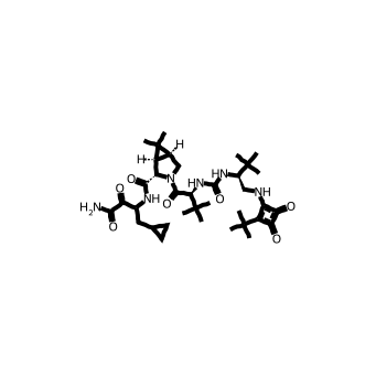 CC(C)(C)c1c(NC[C@@H](NC(=O)N[C@H](C(=O)N2C[C@H]3[C@@H]([C@H]2C(=O)NC(CC2CC2)C(=O)C(N)=O)C3(C)C)C(C)(C)C)C(C)(C)C)c(=O)c1=O